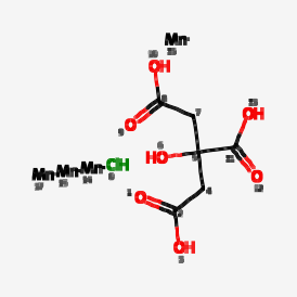 Cl.O=C(O)CC(O)(CC(=O)O)C(=O)O.[Mn].[Mn].[Mn].[Mn]